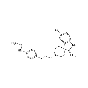 C=C1Nc2ccc(Cl)cc2C12CCN(CCCc1ccc(NSC)cc1)CC2